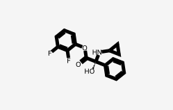 O=C(Oc1cccc(F)c1F)[C@@](O)(NC1CC1)c1ccccc1